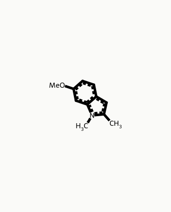 COc1ccc2cc(C)n(C)c2c1